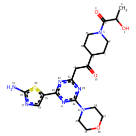 CC(O)C(=O)N1CCC(C(=O)Cc2nc(-c3cnc(N)s3)nc(N3CCOCC3)n2)CC1